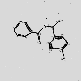 CCCC(SC(=S)c1ccccc1)c1ccc(CC)cc1